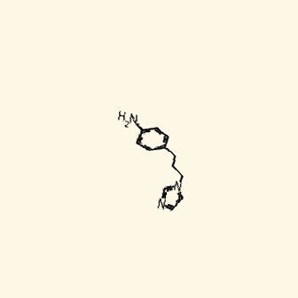 Nc1ccc(CCCn2ccnc2)cc1